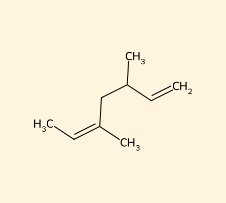 C=CC(C)C/C(C)=C\C